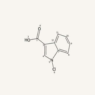 O=C(O)c1cn(Cl)c2ccccc12